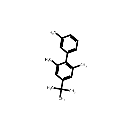 Cc1cc(C(C)(C)C)cc(C)c1-c1cccc(N)c1